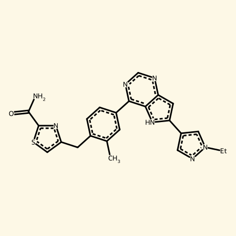 CCn1cc(-c2cc3ncnc(-c4ccc(Cc5csc(C(N)=O)n5)c(C)c4)c3[nH]2)cn1